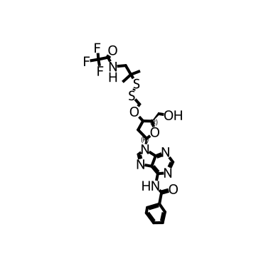 CC(C)(CNC(=O)C(F)(F)F)SSCOC1C[C@H](n2cnc3c(NC(=O)c4ccccc4)ncnc32)O[C@@H]1CO